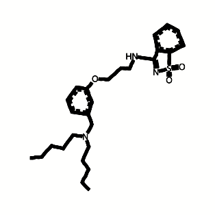 CCCCCN(CCCCC)Cc1cccc(OCCCNC2=NS(=O)(=O)c3ccccc32)c1